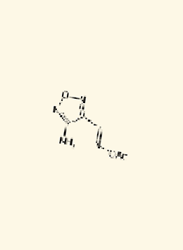 CC(=O)O/N=[C]/c1nonc1N